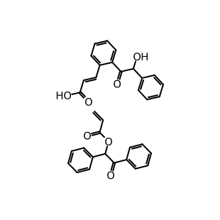 C=CC(=O)OC(C(=O)c1ccccc1)c1ccccc1.O=C(O)C=Cc1ccccc1C(=O)C(O)c1ccccc1